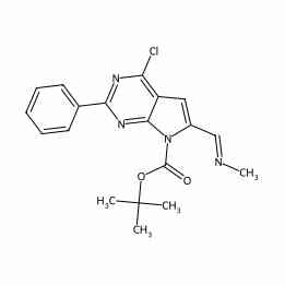 C/N=C/c1cc2c(Cl)nc(-c3ccccc3)nc2n1C(=O)OC(C)(C)C